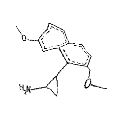 COc1ccc2ccc(OC)c(C3CC3N)c2c1